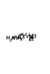 CCN(CC)CCCC1CCN(CCN)CC1